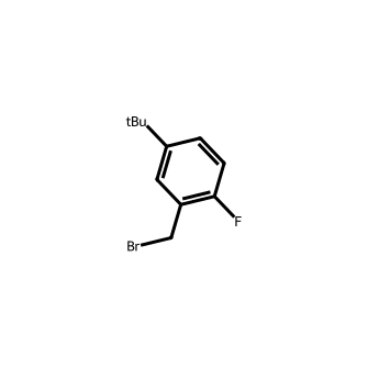 CC(C)(C)c1ccc(F)c(CBr)c1